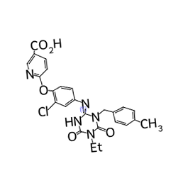 CCn1c(=O)[nH]/c(=N\c2ccc(Oc3ccc(C(=O)O)cn3)c(Cl)c2)n(Cc2ccc(C)cc2)c1=O